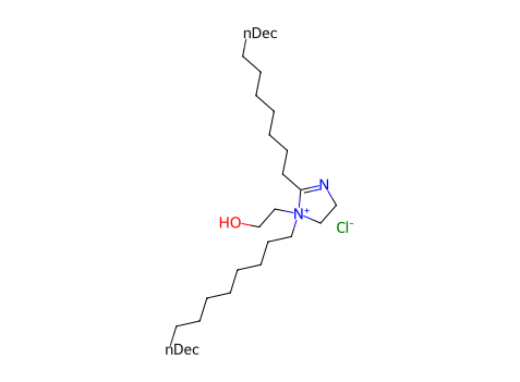 CCCCCCCCCCCCCCCCCC[N+]1(CCO)CCN=C1CCCCCCCCCCCCCCCCC.[Cl-]